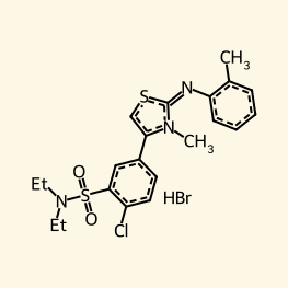 Br.CCN(CC)S(=O)(=O)c1cc(-c2csc(=Nc3ccccc3C)n2C)ccc1Cl